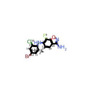 Nc1noc2c(F)c(Nc3ccc(Br)cc3Cl)c(C(=O)O)cc12